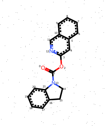 O=C(Oc1cc2ccccc2cn1)N1CCc2ccccc21